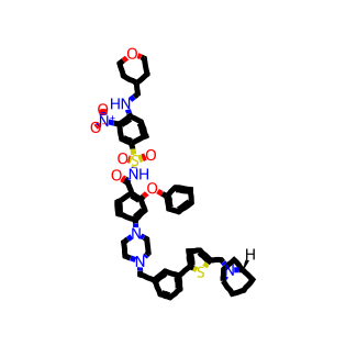 O=C(NS(=O)(=O)c1ccc(NCC2CCOCC2)c([N+](=O)[O-])c1)c1ccc(N2CCN(Cc3cccc(-c4ccc(CN5C6CCC[C@H]5CC6)s4)c3)CC2)cc1Oc1ccccc1